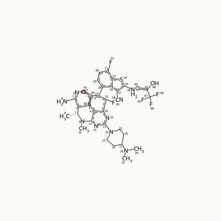 C[C@H](c1cccnc1N)N(C)c1nc(N2CCC(N(C)C)CC2)nc2c(F)c(-c3ccc(F)c4sc(N)c(C#N)c34)c(Cl)cc12.O=C(O)C(F)(F)F